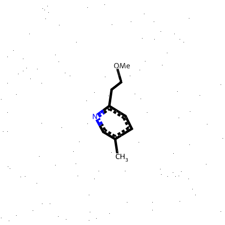 COCCc1ccc(C)cn1